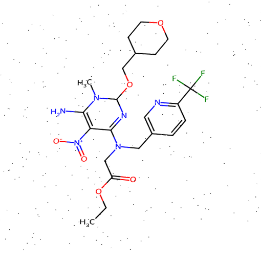 CCOC(=O)CN(Cc1ccc(C(F)(F)F)nc1)C1=NC(OCC2CCOCC2)N(C)C(N)=C1[N+](=O)[O-]